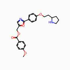 COc1ccc(C(=O)OCc2cnc(-c3ccc(OCCC4CCCN4)cc3)o2)cc1